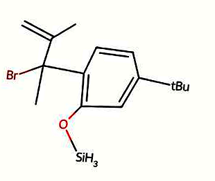 C=C(C)C(C)(Br)c1ccc(C(C)(C)C)cc1O[SiH3]